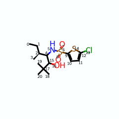 CC[C@H](C)C(NS(=O)(=O)c1ccc(Cl)s1)C(O)C(C)(C)C